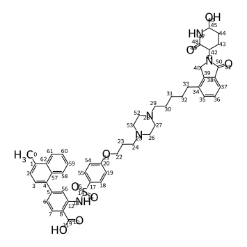 Cc1ccc(-c2ccc(C(=O)O)c(NS(=O)(=O)c3ccc(OCCCN4CCN(CCCCCc5cccc6c5CN(C5CCC(O)NC5=O)C6=O)CC4)cc3)c2)c2ccccc12